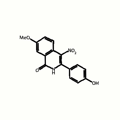 COc1ccc2c([N+](=O)[O-])c(-c3ccc(O)cc3)[nH]c(=O)c2c1